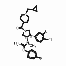 C=C(Oc1ccc(F)cc1)N(C)[C@H]1CN(C(=O)C2CCN(CC3CC3)CC2)C[C@@H]1c1ccc(Cl)c(Cl)c1